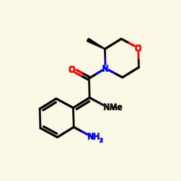 CN/C(C(=O)N1CCOC[C@@H]1C)=C1/C=CC=CC1N